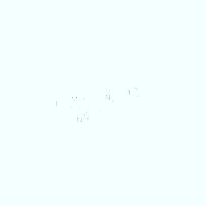 CO[C@H]1C[C@@H](NC(=O)COc2ccc(F)cc2)CO[C@@H]1c1nnc(C2(OC(F)(F)F)CCC2)o1